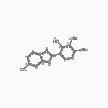 CC(C)(C)c1ccc(-n2nc3ccc(Cl)cc3n2)c(O)c1C(C)(C)C